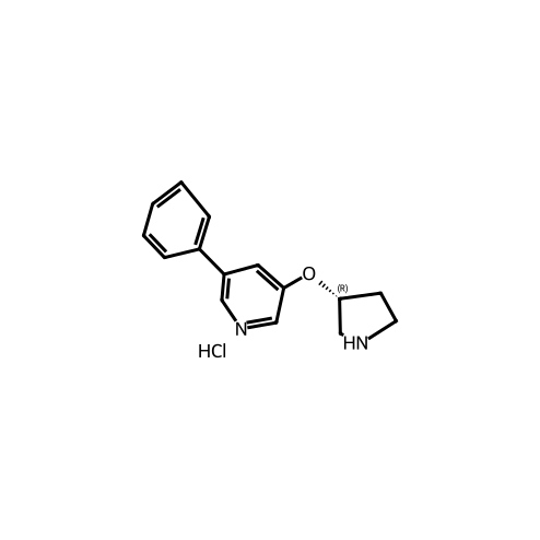 Cl.c1ccc(-c2cncc(O[C@@H]3CCNC3)c2)cc1